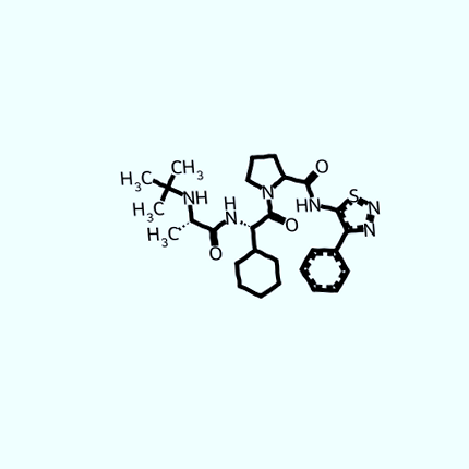 C[C@H](NC(C)(C)C)C(=O)N[C@H](C(=O)N1CCCC1C(=O)Nc1snnc1-c1ccccc1)C1CCCCC1